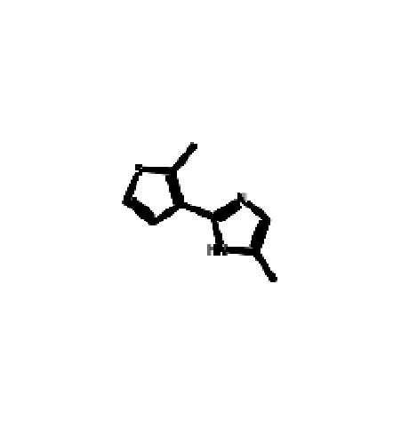 Cc1cnc(-c2ccsc2C)[nH]1